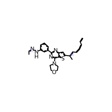 C=CC=C=C/C=C(\C)c1cc2nc(-c3cccc(N/N=C\C)c3)nc(N3CCOCC3)c2s1